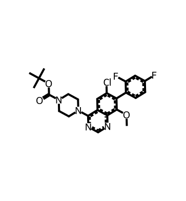 COc1c(-c2ccc(F)cc2F)c(Cl)cc2c(N3CCN(C(=O)OC(C)(C)C)CC3)ncnc12